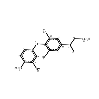 COc1ccc(Oc2c(Br)cc(C(C)CC(=O)O)cc2Br)cc1C(C)C